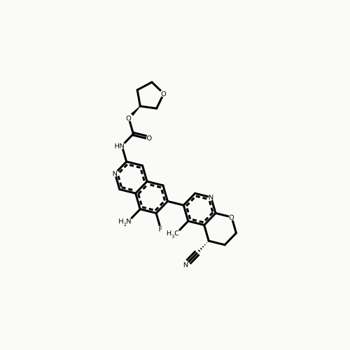 Cc1c(-c2cc3cc(NC(=O)O[C@H]4CCOC4)ncc3c(N)c2F)cnc2c1[C@@H](C#N)CCO2